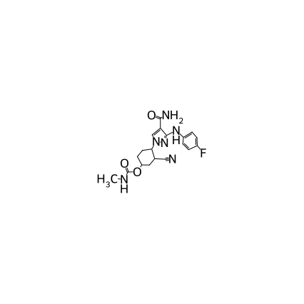 CNC(=O)OC1CCC(n2cc(C(N)=O)c(Nc3ccc(F)cc3)n2)C(C#N)C1